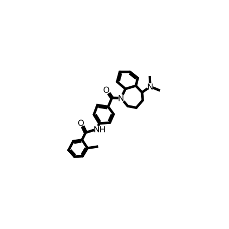 Cc1ccccc1C(=O)Nc1ccc(C(=O)N2CCCC(N(C)C)C3C=CC=CC32)cc1